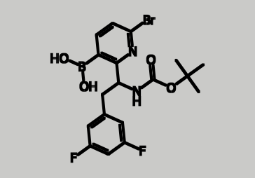 CC(C)(C)OC(=O)NC(Cc1cc(F)cc(F)c1)c1nc(Br)ccc1B(O)O